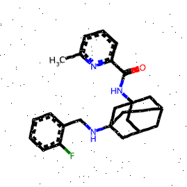 Cc1cccc(C(=O)NC23CC4CC(CC(NCc5ccccc5F)(C4)C2)C3)n1